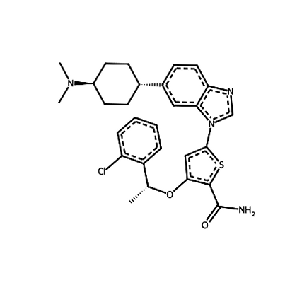 C[C@@H](Oc1cc(-n2cnc3ccc([C@H]4CC[C@H](N(C)C)CC4)cc32)sc1C(N)=O)c1ccccc1Cl